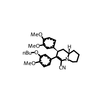 CCCCOc1cc(C2=C(C#N)N3CCCC[C@H]3C[C@@H]2c2ccc(OC)c(OC)c2)ccc1OC